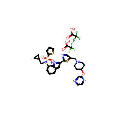 O=C(O)C(F)(F)F.O=C(O)C(F)(F)F.O=S(=O)(c1cccs1)N(CC1CC1)c1cccc2cc(-c3ncc(CN4CCC(Oc5cnccn5)CC4)s3)[nH]c12